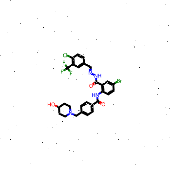 O=C(Nc1ccc(Br)cc1C(=O)NN=Cc1ccc(Cl)c(C(F)(F)F)c1)c1ccc(CN2CCC(O)CC2)cc1